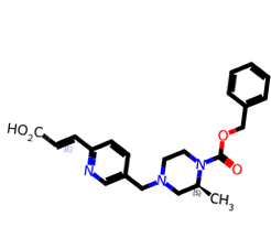 C[C@H]1CN(Cc2ccc(/C=C/C(=O)O)nc2)CCN1C(=O)OCc1ccccc1